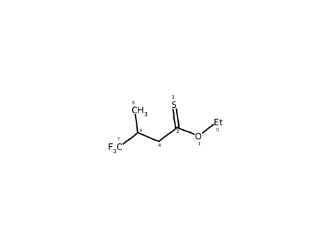 CCOC(=S)CC(C)C(F)(F)F